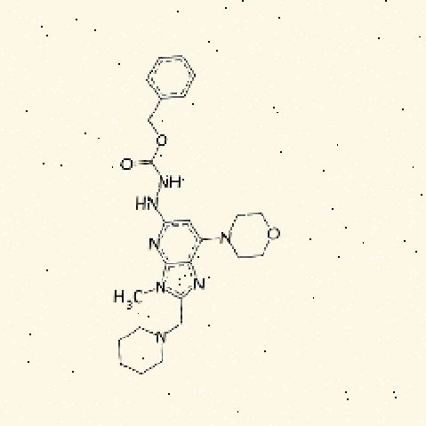 Cn1c(CN2CCCCC2)nc2c(N3CCOCC3)cc(NNC(=O)OCc3ccccc3)nc21